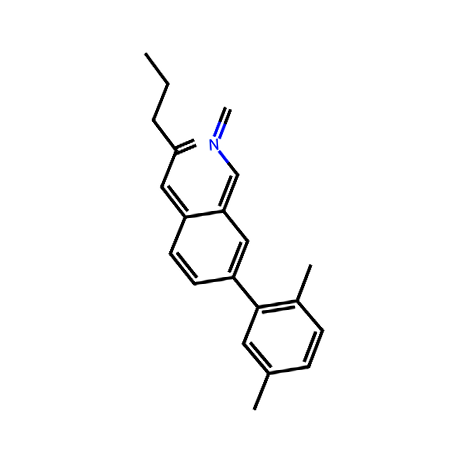 C=N/C=c1/cc(-c2cc(C)ccc2C)cc/c1=C/C(=C)CCC